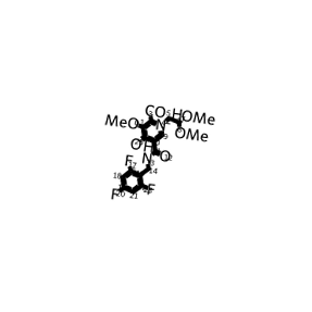 COc1c(C(=O)O)n(CC(OC)OC)cc(C(=O)NCc2c(F)cc(F)cc2F)c1=O